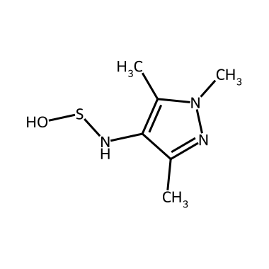 Cc1nn(C)c(C)c1NSO